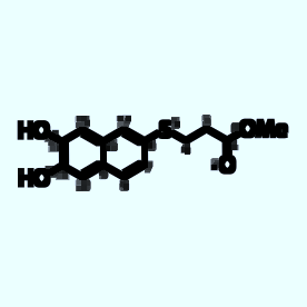 COC(=O)CCSc1ccc2cc(O)c(O)cc2c1